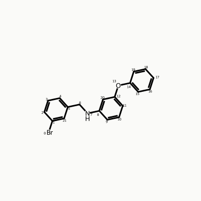 Brc1cccc(CNc2cccc(Oc3ccccc3)c2)c1